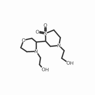 O=S1(=O)CCN(CCO)CC1C1COCCN1CCO